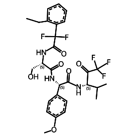 CCc1ccccc1C(F)(F)C(=O)N[C@@H](CO)C(=O)N[C@H](C(=O)N[C@H](C(=O)C(F)(F)F)C(C)C)c1ccc(OC)cc1